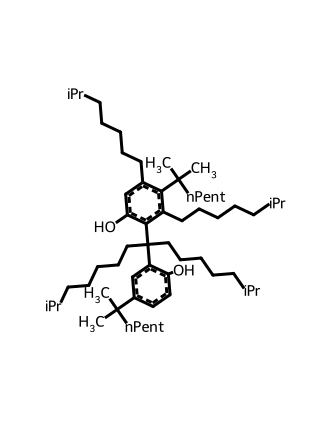 CCCCCC(C)(C)c1ccc(O)c(C(CCCCCC(C)C)(CCCCCC(C)C)c2c(O)cc(CCCCCC(C)C)c(C(C)(C)CCCCC)c2CCCCCC(C)C)c1